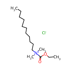 CCCCCCCCCCC[N+](C)(C)C(=O)OCC.[Cl-]